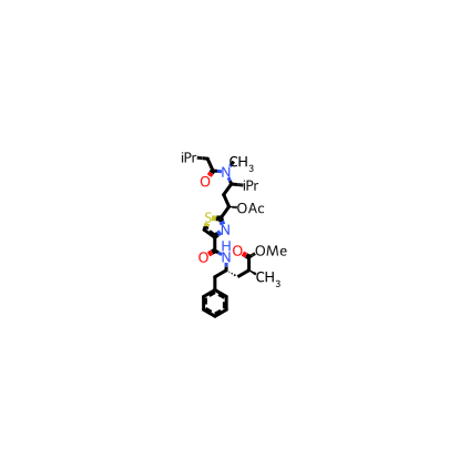 COC(=O)[C@@H](C)C[C@H](Cc1ccccc1)NC(=O)c1csc([C@@H](CC(C(C)C)N(C)C(=O)CC(C)C)OC(C)=O)n1